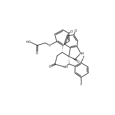 O=C(O)COc1ccc(Cl)cc1[C@H]1CC(=O)NC(c2cc(F)ccc2F)[C@]12C(=O)Nc1cc(Cl)ccc12